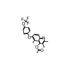 CC(=O)Oc1c(C)c(C)nc2ccc(Oc3ccc(OC(F)(F)F)cc3)c(C)c12